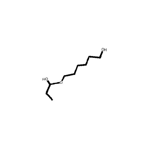 CCC(O)OCCCCCCO